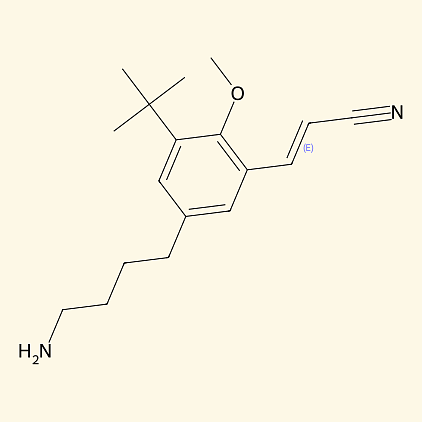 COc1c(/C=C/C#N)cc(CCCCN)cc1C(C)(C)C